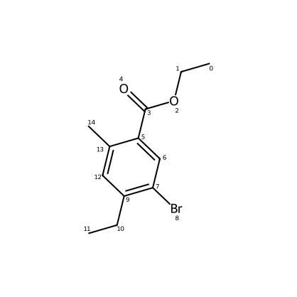 CCOC(=O)c1cc(Br)c(CC)cc1C